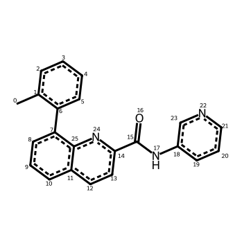 Cc1ccccc1-c1cccc2ccc(C(=O)Nc3cccnc3)nc12